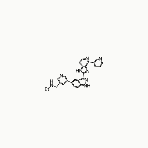 CCNCc1cncc(-c2ccc3[nH]nc(-c4nc5c(-c6cccnc6)nccc5[nH]4)c3c2)c1